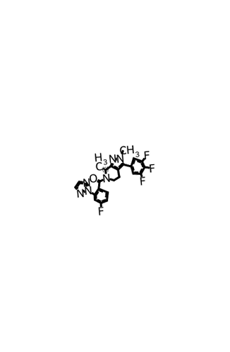 C[C@H]1c2nn(C)c(-c3cc(F)c(F)c(F)c3)c2CCN1C(=O)c1ccc(F)cc1-n1nccn1